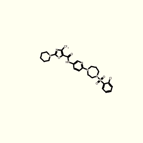 O=C(Nc1ccc(N2CCCN(S(=O)(=O)c3ccccc3Cl)CC2)nc1)c1oc(N2CCCCC2)nc1C(F)(F)F